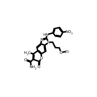 CCOCCCn1c(Nc2ccc([N+](=O)[O-])cc2)nc2cc3c(C)c(C(N)=O)c(=O)oc3cc21